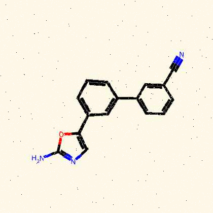 N#Cc1cccc(-c2cccc(-c3cnc(N)o3)c2)c1